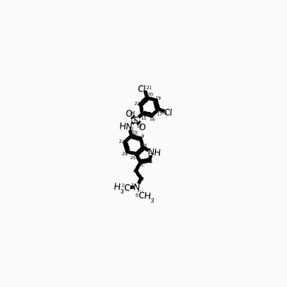 CN(C)CCc1c[nH]c2cc(NS(=O)(=O)c3cc(Cl)cc(Cl)c3)ccc12